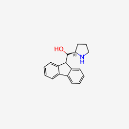 OC(C1c2ccccc2-c2ccccc21)[C@H]1CCCN1